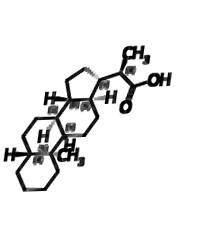 C[C@@H](C(=O)O)[C@H]1CC[C@@H]2[C@@H]1CC[C@H]1[C@H]2CC[C@H]2CCCC[C@@]21C